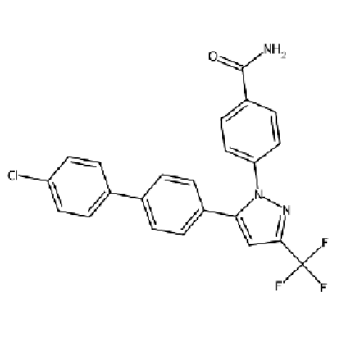 NC(=O)c1ccc(-n2nc(C(F)(F)F)cc2-c2ccc(-c3ccc(Cl)cc3)cc2)cc1